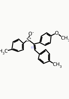 COc1ccc(/C(=C\c2ccc(C)cc2)[S+]([O-])c2ccc(C)cc2)cc1